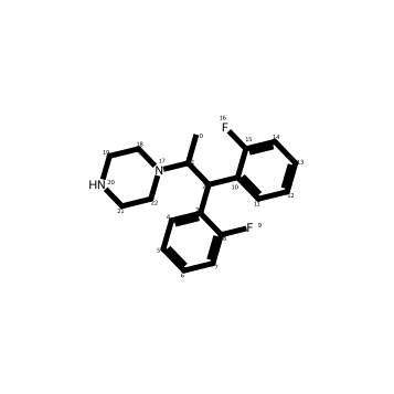 CC([C](c1ccccc1F)c1ccccc1F)N1CCNCC1